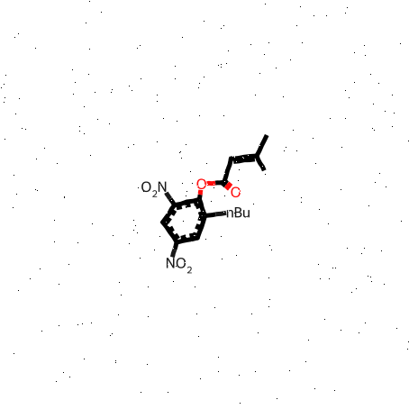 CCCCc1cc([N+](=O)[O-])cc([N+](=O)[O-])c1OC(=O)C=C(C)C